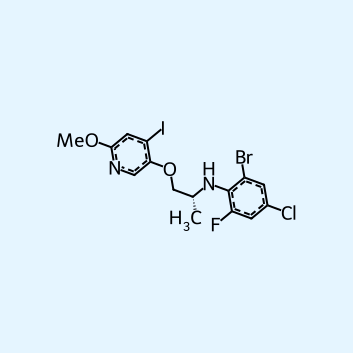 COc1cc(I)c(OC[C@@H](C)Nc2c(F)cc(Cl)cc2Br)cn1